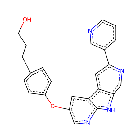 OCCCc1ccc(Oc2cnc3[nH]c4cnc(-c5cccnc5)cc4c3c2)cc1